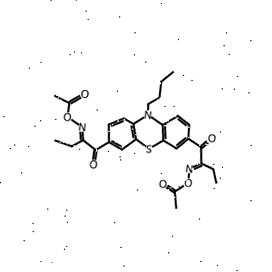 CCCCN1c2ccc(C(=O)C(CC)=NOC(C)=O)cc2Sc2cc(C(=O)C(CC)=NOC(C)=O)ccc21